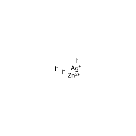 [Ag+].[I-].[I-].[I-].[Zn+2]